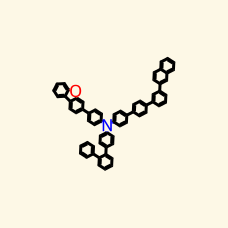 c1ccc(-c2ccccc2-c2ccc(N(c3ccc(-c4ccc(-c5cccc(-c6ccc7ccccc7c6)c5)cc4)cc3)c3ccc(-c4ccc5c(c4)oc4ccccc45)cc3)cc2)cc1